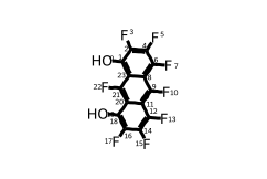 Oc1c(F)c(F)c(F)c2c(F)c3c(F)c(F)c(F)c(O)c3c(F)c12